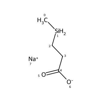 C[SiH2]CCC(=O)[O-].[Na+]